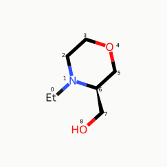 CCN1CCOC[C@H]1CO